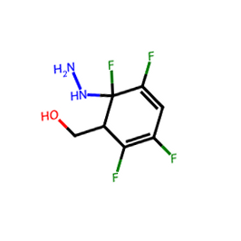 NNC1(F)C(F)=CC(F)=C(F)C1CO